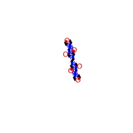 CN(CN1C(=O)CN(CCN2CC(=O)N(CN(C)N3CCOCC3)C(=O)C2)CC1=O)N1CCOCC1